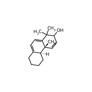 CC1(C)C2=CC=C3CCCC[C@@H]3[C@@]2(C)C=CC1O